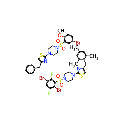 COc1ccc(Br)cc1S(=O)(=O)N1CCN(c2nc(Cc3ccccc3)cs2)CC1.Cc1cc(C)c(Cc2csc(N3CCN(S(=O)(=O)c4c(F)c(Br)cc(F)c4Br)CC3)n2)c(C)c1